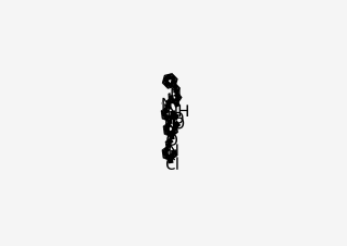 CC1CN(Cc2ccccc2)CC1N(C)c1ccc(-n2ccc(OCc3ccc(Cl)cn3)cc2=O)c(=O)[nH]1